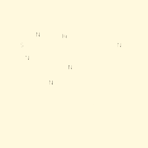 Brc1nsnc1-c1nc2ccccc2n1Cc1cccnc1